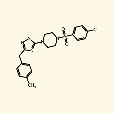 Cc1ccc(Cc2nsc(N3CCN(S(=O)(=O)c4ccc(Cl)cc4)CC3)n2)cc1